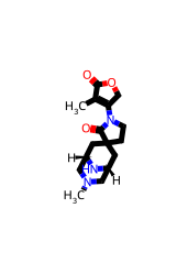 CC1=C(N2CCC3(C[C@H]4CN(C)C[C@@H](C3)N4)C2=O)COC1=O